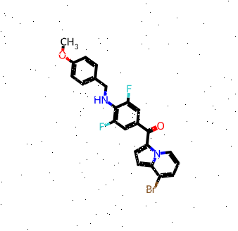 COc1ccc(CNc2c(F)cc(C(=O)c3ccc4c(Br)cccn34)cc2F)cc1